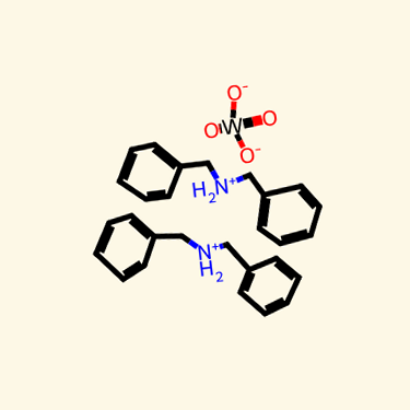 [O]=[W](=[O])([O-])[O-].c1ccc(C[NH2+]Cc2ccccc2)cc1.c1ccc(C[NH2+]Cc2ccccc2)cc1